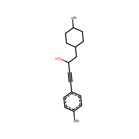 CCCc1ccc(C#CC(O)CC2CCC(CCC)CC2)cc1